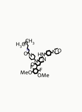 COc1cc(OC)c(F)c(-c2cc3cnc(Nc4ccc(N5CCOCC5)cc4)cc3n(C3CCN(C(=O)/C=C/CN(C)C)CC3)c2=O)c1F